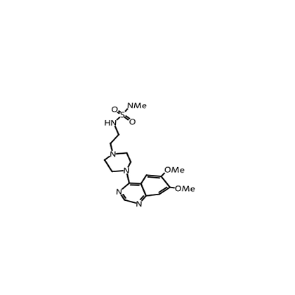 CNS(=O)(=O)NCCN1CCN(c2ncnc3cc(OC)c(OC)cc23)CC1